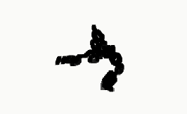 Cc1ccc(Cn2c(=O)n(CCCC(=O)O)c(=O)[nH]/c2=N\c2ccc(Oc3ccnc(C)c3)cc2)cc1